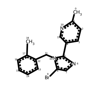 Cc1ccc(-c2ncc(Br)n2Cc2ccccc2C)cn1